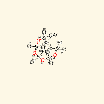 CC[Si](CC)(CC)O[Si](CC)(CC)O[Si](CC)(CC)O[Si](CC)(CC)O[Si](CC)(CC)OC(C)=O